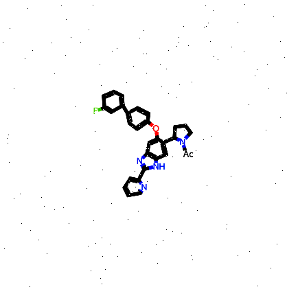 CC(=O)N1CCCC1c1cc2[nH]c(-c3ccccn3)nc2cc1Oc1ccc(-c2cccc(F)c2)cc1